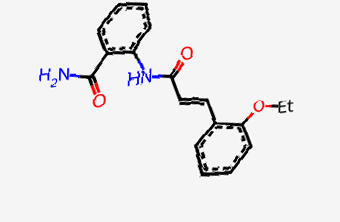 CCOc1ccccc1C=CC(=O)Nc1ccccc1C(N)=O